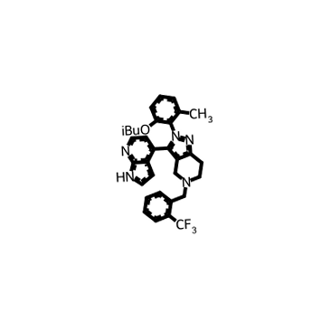 Cc1cccc(OCC(C)C)c1-n1nc2c(c1-c1ccnc3[nH]ccc13)CN(Cc1ccccc1C(F)(F)F)CC2